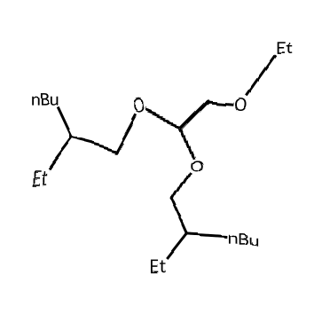 [CH2]COCC(OCC(CC)CCCC)OCC(CC)CCCC